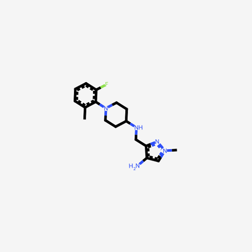 Cc1cccc(F)c1N1CCC(NCc2nn(C)cc2N)CC1